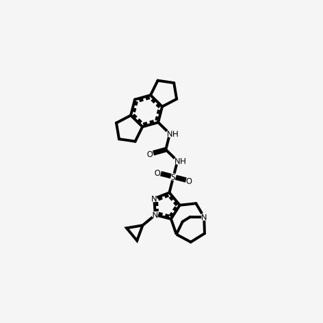 O=C(Nc1c2c(cc3c1CCC3)CCC2)NS(=O)(=O)c1nn(C2CC2)c2c1CN1CCC2CC1